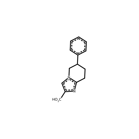 O=C(O)c1cn2c(n1)CCC(c1ccccc1)C2